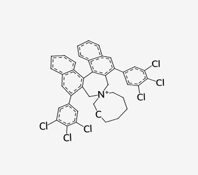 Clc1cc(-c2cc3ccccc3c3c2C[N+]2(CCCCCCC2)Cc2c(-c4cc(Cl)c(Cl)c(Cl)c4)cc4ccccc4c2-3)cc(Cl)c1Cl